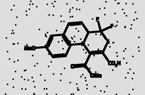 COC(=O)C1=C(C(=O)O)SC(F)(F)C2C=Cc3cc(OC)ccc3N12